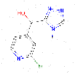 Cn1cnnc1C(O)c1ccnc(Br)c1